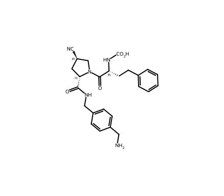 N#C[C@@H]1C[C@@H](C(=O)NCc2ccc(CN)cc2)N(C(=O)[C@@H](CCc2ccccc2)NC(=O)O)C1